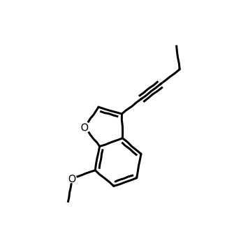 CCC#Cc1coc2c(OC)cccc12